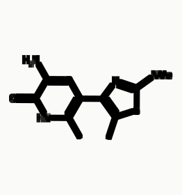 CNc1nc(-c2cc(N)c(=O)[nH]c2C)c(C)s1